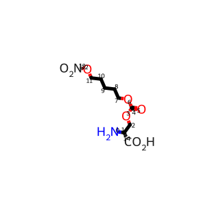 NC(COC(=O)OCCCCCO[N+](=O)[O-])C(=O)O